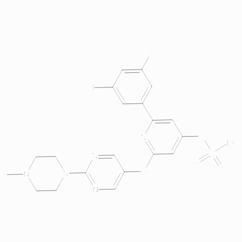 CCS(=O)(=O)Oc1cc(Oc2cnc(N3CCN(C)CC3)nc2)nc(-c2cc(Cl)cc(Cl)c2)c1